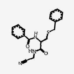 N#CCNC(=O)C(CSCc1ccccc1)NC(=O)c1ccccc1